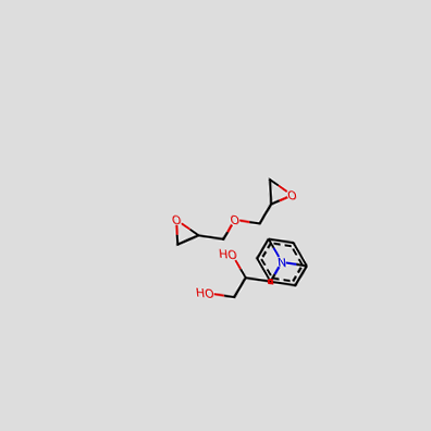 C(OCC1CO1)C1CO1.OCC(O)CN1c2cccc1c2